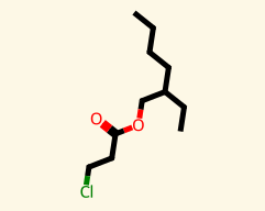 CCCCC(CC)COC(=O)CCCl